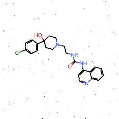 O=C(NCCN1CCC(O)(c2ccc(Cl)cc2)CC1)Nc1ccnc2ccccc12